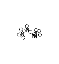 c1ccc(-c2nnc(-c3ccc(-n4c5ccccc5c5c6cccc7c8cccc9c%10ccccc%10n(c(cc54)c76)c89)cc3)n2-c2cccc3ccccc23)cc1